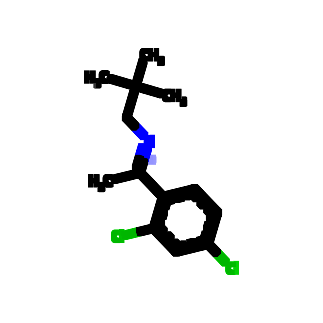 C/C(=N\CC(C)(C)C)c1ccc(Cl)cc1Cl